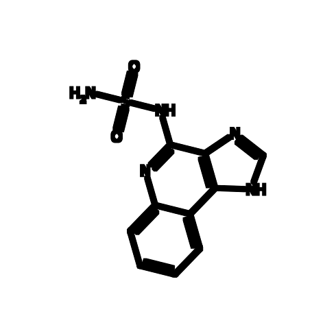 NS(=O)(=O)Nc1nc2ccccc2c2[nH]cnc12